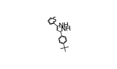 CC(C)(C)c1ccc(C2C=C(c3cccs3)NN2)cc1